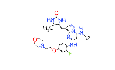 C=c1[nH]c(=O)[nH]/c1=C\c1cnn2c(NC3CC3)cc(Nc3ccc(OCCN4CCOCC4)cc3F)nc12